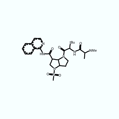 CNC(C)C(=O)NC(C(=O)N1CCC2C1C(C(=O)Nc1nccc3ccccc13)CN2S(C)(=O)=O)C(C)(C)C